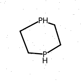 C1CPCCP1